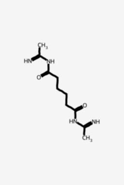 CC(=N)NC(=O)CCCCC(=O)NC(C)=N